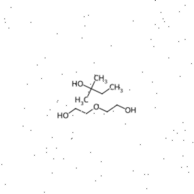 CCC(C)(C)O.OCCOCCO